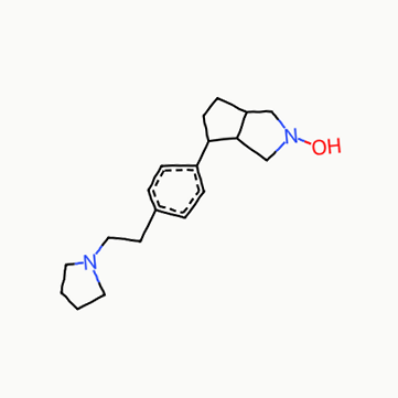 ON1CC2CCC(c3ccc(CCN4CCCC4)cc3)C2C1